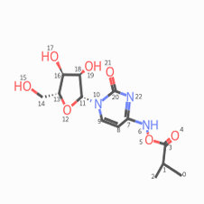 CC(C)C(=O)ONc1ccn([C@@H]2O[C@H](CO)[C@@H](O)[C@H]2O)c(=O)n1